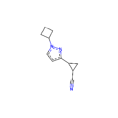 N#CC1CC1c1ccn(C2CCC2)n1